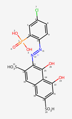 O=P(O)(O)c1cc(Cl)ccc1/N=N/c1c(S(=O)(=O)O)cc2cc(S(=O)(=O)O)cc(O)c2c1O